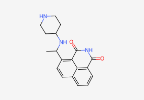 CC(NC1CCNCC1)c1ccc2cccc3c2c1C(=O)NC3=O